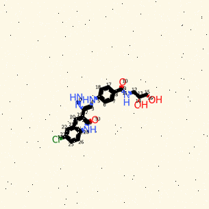 N=N/C(=C\Nc1ccc(C(=O)NC[C@@H](O)CO)cc1)c1cc2cc(Cl)ccc2[nH]c1=O